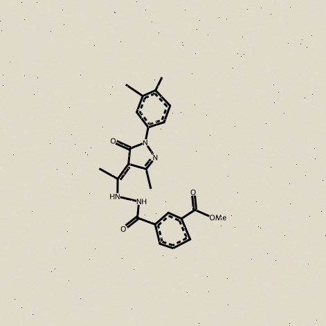 COC(=O)c1cccc(C(=O)NNC(C)=C2C(=O)N(c3ccc(C)c(C)c3)N=C2C)c1